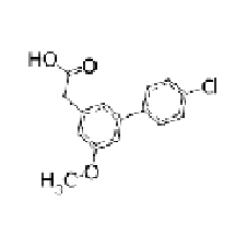 COc1cc(CC(=O)O)cc(-c2ccc(Cl)cc2)c1